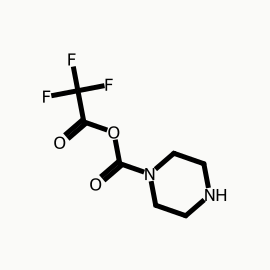 O=C(OC(=O)C(F)(F)F)N1CCNCC1